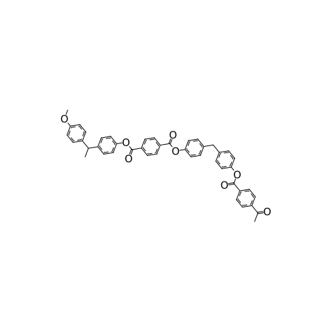 COc1ccc(C(C)c2ccc(OC(=O)c3ccc(C(=O)Oc4ccc(Cc5ccc(OC(=O)c6ccc(C(C)=O)cc6)cc5)cc4)cc3)cc2)cc1